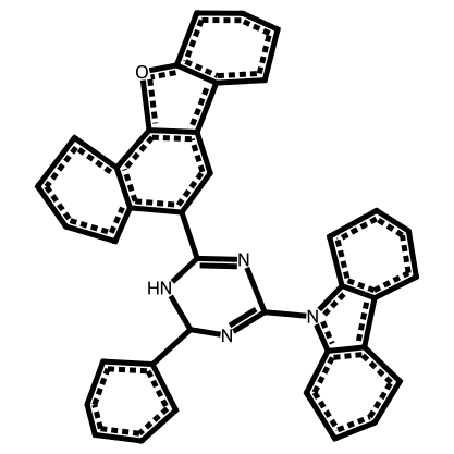 c1ccc(C2N=C(n3c4ccccc4c4ccccc43)N=C(c3cc4c5ccccc5oc4c4ccccc34)N2)cc1